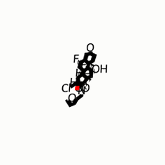 C[C@]12C=CC(=O)C=C1[C@@H](F)C[C@H]1[C@@H]3C[C@H]4CN(Cc5ccco5)O[C@@]4(C(=O)CCl)[C@@]3(C)C[C@H](O)[C@@]12F